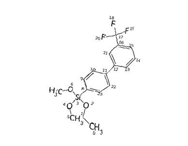 CCO[Si](OC)(OC)c1ccc(-c2cccc(C(F)(F)F)c2)cc1